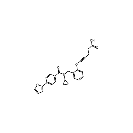 O=C(O)CCC#COc1ccccc1CN(C(=O)c1ccc(-c2ccco2)cc1)C1CC1